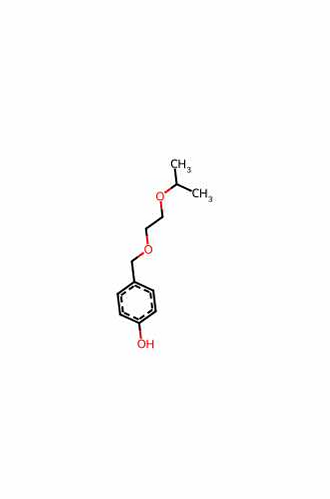 CC(C)OCCOCc1ccc(O)cc1